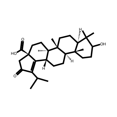 CC(C)C1=C2[C@H]3CC[C@@H]4[C@@]5(C)CCC(O)C(C)(C)[C@@H]5CC[C@@]4(C)[C@]3(C)CC[C@@]2(C(=O)O)CC1=O